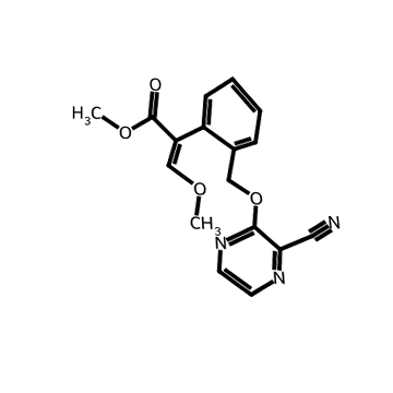 CO/C=C(/C(=O)OC)c1ccccc1COc1nccnc1C#N